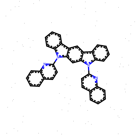 c1ccc2nc(-n3c4ccccc4c4cc5c6ccccc6n(-c6ccc7ccccc7n6)c5cc43)ccc2c1